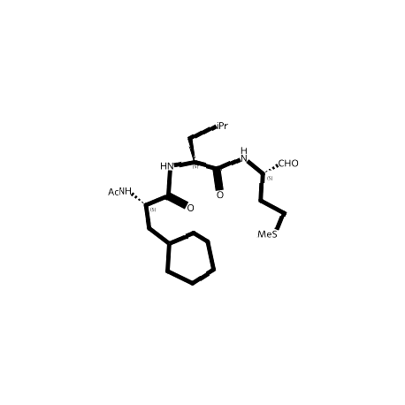 CSCC[C@@H](C=O)NC(=O)[C@H](CC(C)C)NC(=O)[C@H](CC1CCCCC1)NC(C)=O